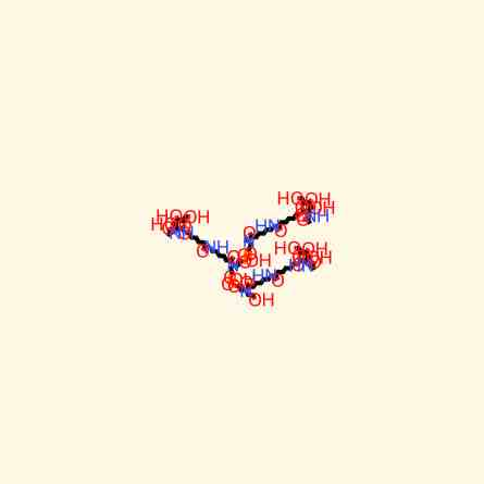 CC(=O)NC1C(OCCCCCC(=O)NCCCCCC(=O)N(C)CCOP(=O)(O)OCCN(CCOP(=O)(O)OCCN(CCO)C(=O)CCCCCNC(=O)CCCCCOC2OC(CO)C(O)C(O)C2NC(C)=O)C(=O)CCCCCNC(=O)CCCCCOC2OC(CO)C(O)C(O)C2NC(C)=O)OC(CO)C(O)C1O